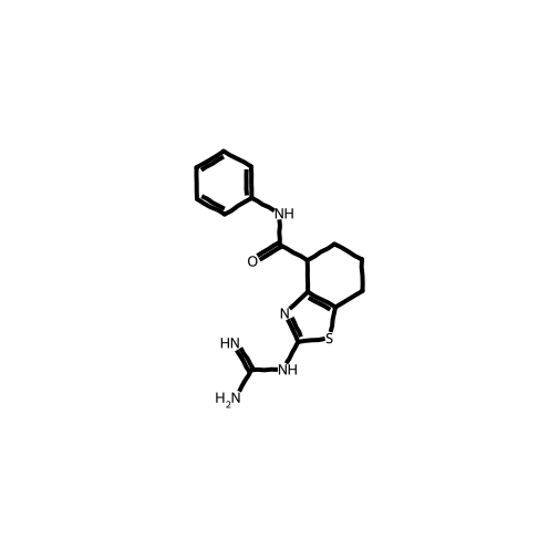 N=C(N)Nc1nc2c(s1)CCCC2C(=O)Nc1ccccc1